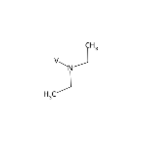 CC[N]([V])CC